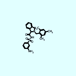 Cc1cc(C)c(CN2Cc3ccccc3C2C(=O)NS(=O)(=O)c2cccc(N)c2)c(C)c1